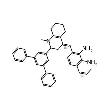 C/C=C\c1ccc(/C=C2\CC(c3cc(-c4ccccc4)cc(-c4ccccc4)c3)N(C)C3=C2CCCC3)c(N)c1N